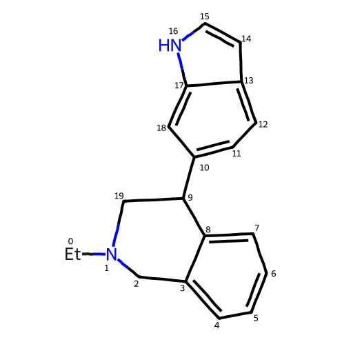 CCN1Cc2ccccc2C(c2ccc3cc[nH]c3c2)C1